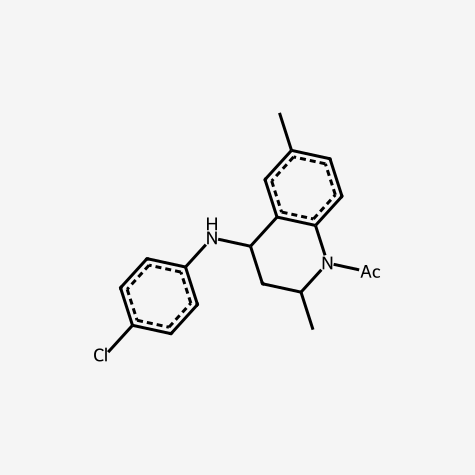 CC(=O)N1c2ccc(C)cc2C(Nc2ccc(Cl)cc2)CC1C